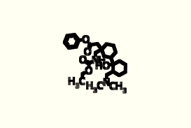 CCOC(=O)NCC1(CC(=O)Oc2ccccc2)CCCC(C2(O)CCCCC2CN(C)C)C1